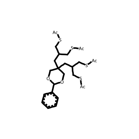 CC(=O)SCC(CSC(C)=O)CC1(CC(CSC(C)=O)CSC(C)=O)COC(c2ccccc2)OC1